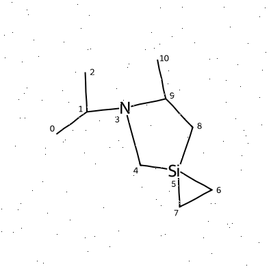 CC(C)N1C[Si]2(CC2)CC1C